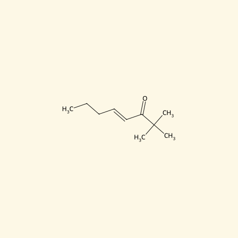 CCC/C=C/C(=O)C(C)(C)C